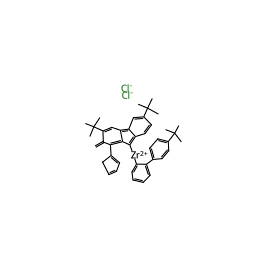 C=c1c(C(C)(C)C)cc2c(c1C1=CC=CC1)[C]([Zr+2][c]1ccccc1-c1ccc(C(C)(C)C)cc1)=c1ccc(C(C)(C)C)cc1=2.[Cl-].[Cl-]